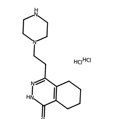 Cl.Cl.O=c1[nH]nc(CCN2CCNCC2)c2c1CCCC2